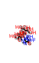 Nc1nc2c(ncn2[C@@H]2O[C@H](CO)[C@@H](O)[C@H]2OP(=O)(O)O)c(=O)[nH]1.OC[C@@H](O)[C@@H](O)[C@@H](O)CO